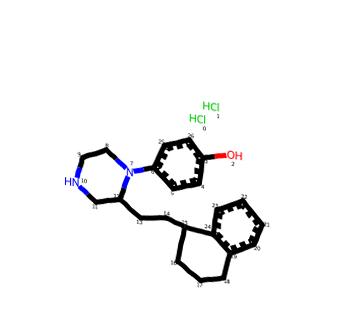 Cl.Cl.Oc1ccc(N2CCNCC2CCC2CCCc3ccccc32)cc1